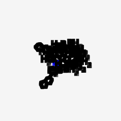 Bc1c(B)c(B)c(C2(c3c(B)c(B)c(B)c(B)c3B)c3c(B)c(B)c(B)c(B)c3-c3c(N(c4ccc(-c5ccc6ccccc6c5)cc4)c4ccc(-c5ccc6ccccc6c5)cc4)c(B)c(B)c(B)c32)c(B)c1B